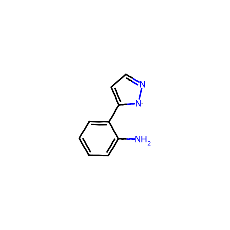 Nc1ccccc1C1=CC=N[N]1